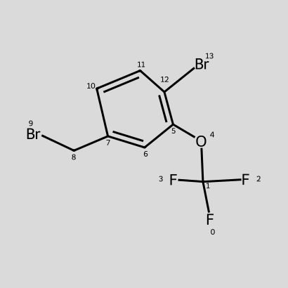 FC(F)(F)Oc1cc(CBr)ccc1Br